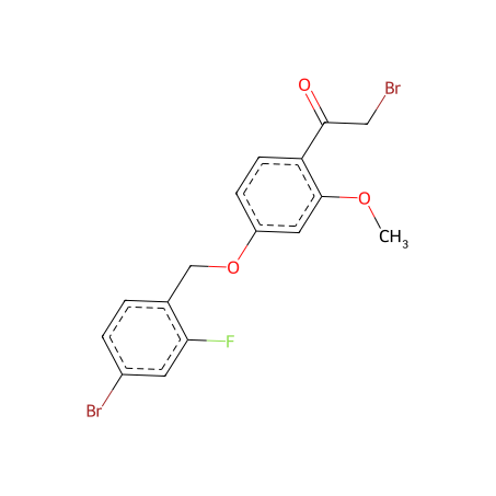 COc1cc(OCc2ccc(Br)cc2F)ccc1C(=O)CBr